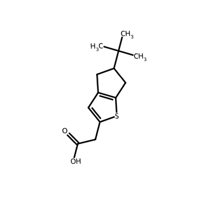 CC(C)(C)C1Cc2cc(CC(=O)O)sc2C1